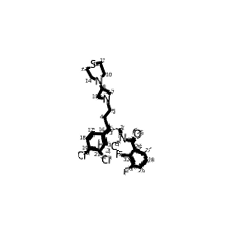 CN(C[C@@H](CCN1CC(N2CCSCC2)C1)c1ccc(Cl)c(Cl)c1)C(=O)c1cccc(F)c1F